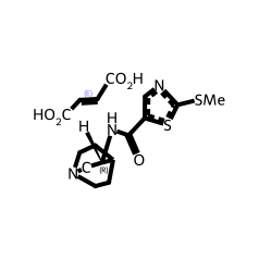 CSc1ncc(C(=O)N[C@H]2CN3CCC2CC3)s1.O=C(O)/C=C/C(=O)O